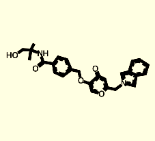 CC(C)(CO)NC(=O)c1ccc(COc2coc(Cn3cc4ccccc4c3)cc2=O)cc1